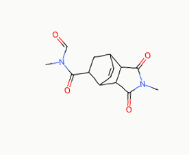 CN(C=O)C(=O)C1CC2C=CC1C1C(=O)N(C)C(=O)C21